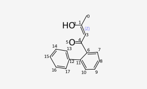 C/C(O)=C/C(=O)c1ccccc1-c1ccccc1